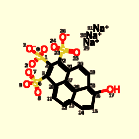 O=S(=O)([O-])c1c(S(=O)(=O)[O-])c2ccc3ccc(O)c4ccc(c1S(=O)(=O)[O-])c2c34.[Na+].[Na+].[Na+]